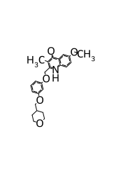 COc1ccc2[nH]c(COc3cccc(OCC4CCOCC4)c3)c(C)c(=O)c2c1